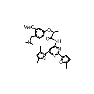 COc1cc(OC(C)C(=O)Nc2cc(-n3nc(C)cc3C)nc(-c3ccc(C)o3)n2)ccc1CN(C)C